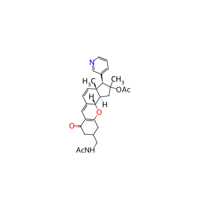 CC(=O)NCC1CC(=O)C2=C(C1)O[C@@H]1C(=C2)C=C[C@@]2(C)[C@H]1CC(C)(OC(C)=O)[C@@H]2c1cccnc1